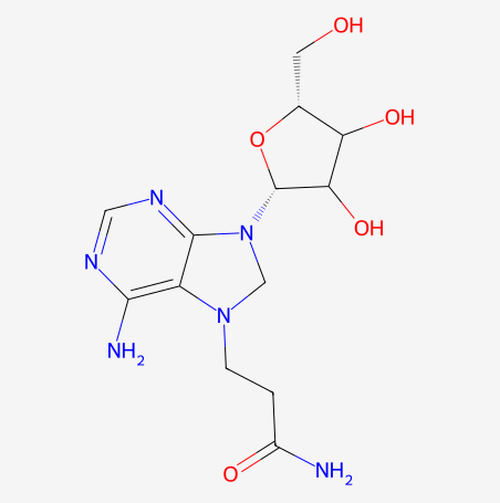 NC(=O)CCN1CN([C@@H]2O[C@H](CO)C(O)C2O)c2ncnc(N)c21